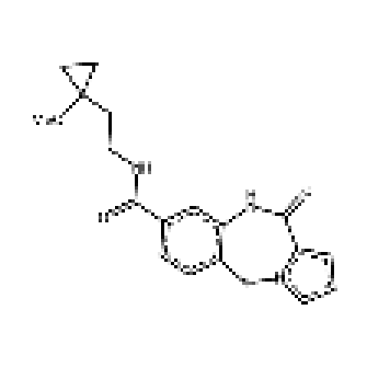 COC1(CCNC(=O)c2ccc3c(c2)NC(=O)c2cccn2S3)CC1